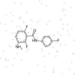 Nc1ccc(F)c(C(=O)Nc2ccc(F)cc2)c1F